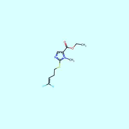 CCOC(=O)c1cnc(SCCC=C(F)F)n1C